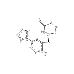 O=C1COC[C@@H](Cc2cc(-n3nccn3)ccc2Cl)N1